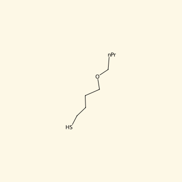 CCCCOCCCCS